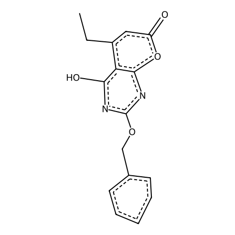 CCc1cc(=O)oc2nc(OCc3ccccc3)nc(O)c12